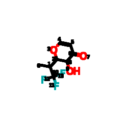 CC(C1OC=CC(=O)C1O)C(F)(F)F